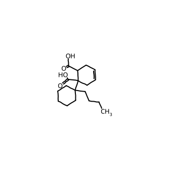 CCCCC1(C2(C(=O)O)CC=CCC2C(=O)O)CCCCC1